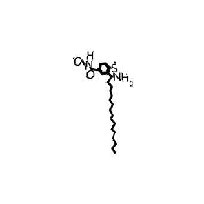 CCCCCCCCCCCCCCCCC(N)c1cc(C(=O)NCCOC)ccc1SC